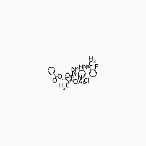 C=C1[C@@H](OC(C)=O)[C@H](n2ncc3c(N[C@@H](C)c4ccccc4F)cc(Cl)nc32)O[C@@H]1COC(=O)c1ccccc1